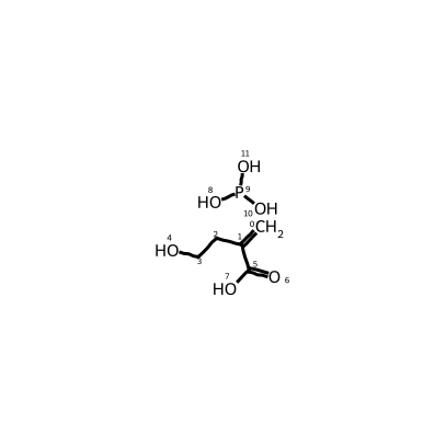 C=C(CCO)C(=O)O.OP(O)O